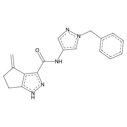 C=C1CCc2[nH]nc(C(=O)Nc3cnn(Cc4ccccc4)c3)c21